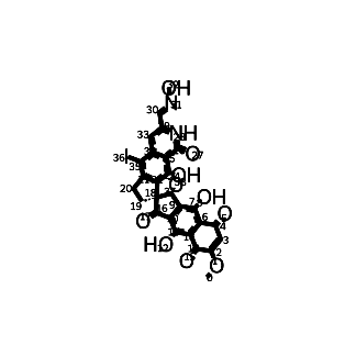 COC1=CC(=O)c2c(O)c3c(c(O)c2C1=O)C(=O)[C@]1(CCc2c1c(O)c1c(=O)[nH]c(C=NO)cc1c2I)C3=O